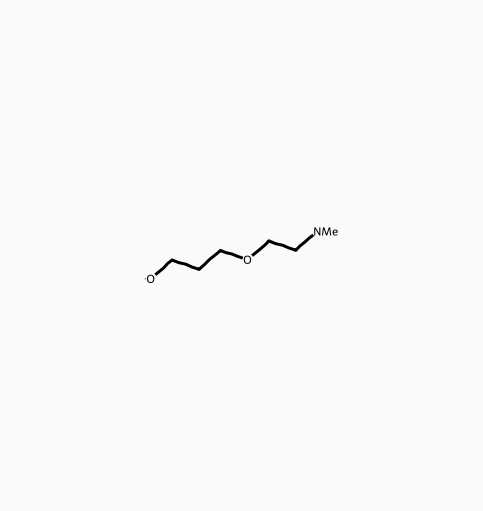 CNCCOCCC[O]